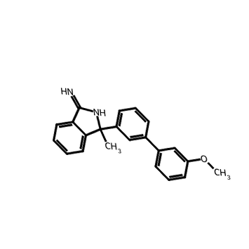 COc1cccc(-c2cccc(C3(C)NC(=N)c4ccccc43)c2)c1